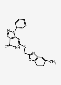 Cc1ccc2oc(CSc3nc4c(cnn4-c4ccccc4)c(=O)[nH]3)nc2c1